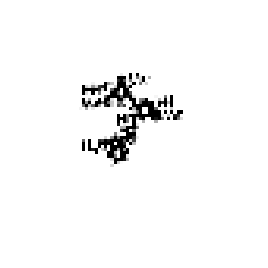 COc1cc(NC=CC(=O)c2cn(C)c3ccccc23)c(C=Cc2cc(OC)c(OC)c(OC)c2)cc1O